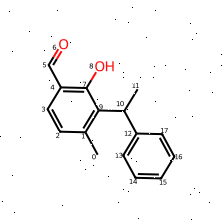 Cc1ccc(C=O)c(O)c1C(C)c1ccccc1